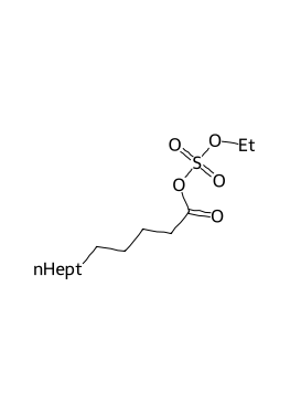 CCCCCCCCCCCC(=O)OS(=O)(=O)OCC